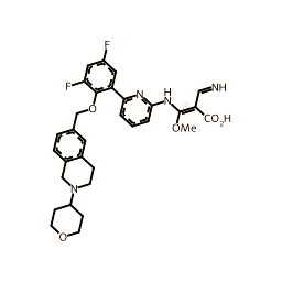 CO/C(Nc1cccc(-c2cc(F)cc(F)c2OCc2ccc3c(c2)CCN(C2CCOCC2)C3)n1)=C(/C=N)C(=O)O